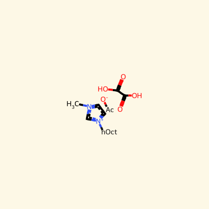 CC(=O)[O-].CCCCCCCC[n+]1ccn(C)c1.O=C(O)C(=O)O